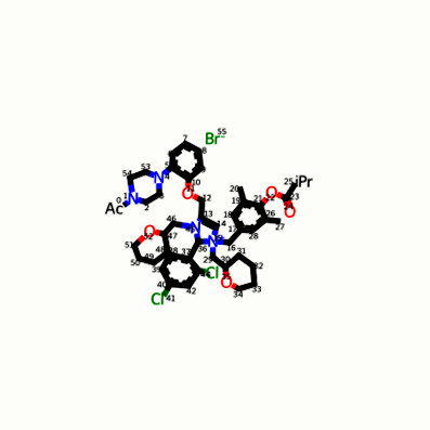 CC(=O)N1CCN(c2ccccc2OCC2=C[N+](Cc3cc(C)c(OC(=O)C(C)C)c(C)c3)(CC3CCCCO3)C(c3ccc(Cl)cc3Cl)N2CC2CCCCO2)CC1.[Br-]